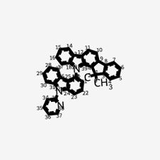 CC1(C)c2ccccc2-c2ccc3c4ccccc4n(-c4cccc5c4c4ccccc4n5-c4ccccn4)c3c21